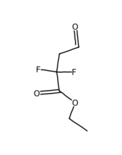 CCOC(=O)C(F)(F)CC=O